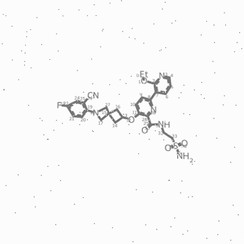 CCOc1ncccc1-c1ccc(OC2CC3(C2)CN(c2ccc(F)cc2C#N)C3)c(C(=O)NCCS(N)(=O)=O)n1